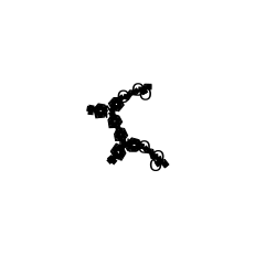 C=CC(=O)OCCCOc1ccc(N(c2ccc(-c3ccc(N(c4ccc(OCCCOC(=O)C=C)cc4)c4ccc(C(C)(C)C)cc4)cc3)cc2)c2ccc(C(C)(C)C)cc2)cc1